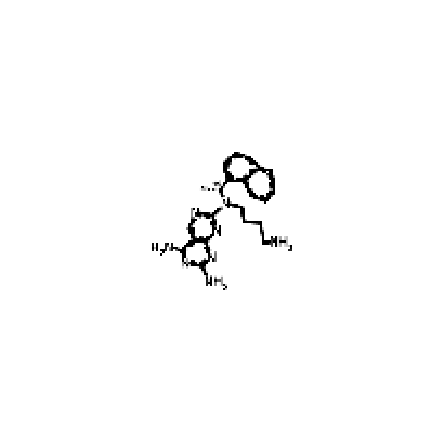 C[C@H](c1cccc2ccccc12)N(CCCCN)c1ncc2c(N)nc(N)nc2n1